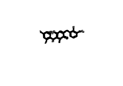 Cn1c(Nc2ccc(I)cc2F)c(C(=O)O)cc(Cc2cccc(N)c2F)c1=O